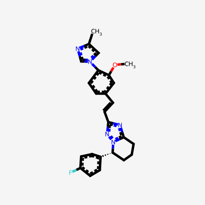 COc1cc(/C=C/c2nc3n(n2)[C@@H](c2ccc(F)cc2)CCC3)ccc1-n1cnc(C)c1